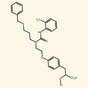 CCOC(Cc1ccc(OCCN(CCCSCc2ccccc2)C(=O)Nc2ccccc2C(F)(F)F)cc1)C(=O)O